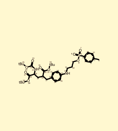 Cc1ccc(S(=O)(=O)OCCCNc2ccc(CC(CC(NC(=O)OC(C)(C)C)C(=O)OC(C)(C)C)C(=O)OC(C)(C)C)cc2)cc1